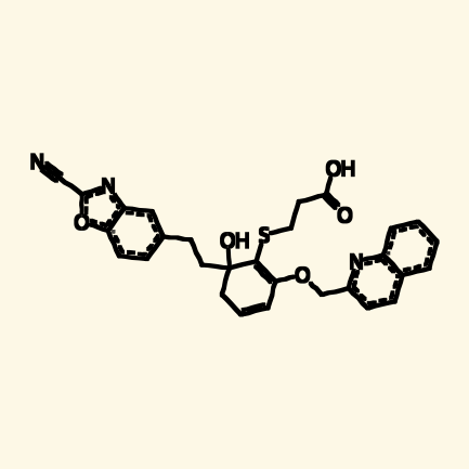 N#Cc1nc2cc(CCC3(O)CC=CC(OCc4ccc5ccccc5n4)=C3SCCC(=O)O)ccc2o1